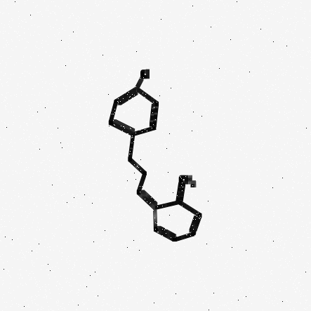 C=c1cccc/c1=C/CCc1ccc(Cl)cc1